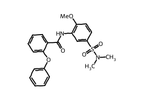 COc1ccc(S(=O)(=O)N(C)C)cc1NC(=O)c1ccccc1Oc1ccccc1